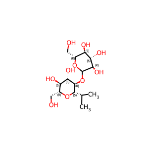 CC(C)[C@@H]1O[C@H](CO)[C@@H](O)[C@H](O)[C@H]1OC1O[C@H](CO)[C@@H](O)[C@H](O)[C@H]1O